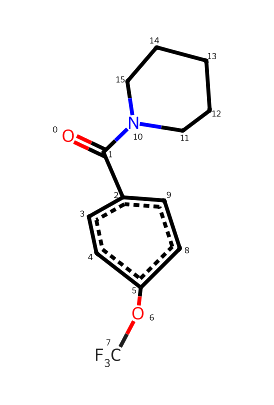 O=C(c1ccc(OC(F)(F)F)cc1)N1CCCCC1